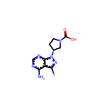 Nc1ncnc2c1c(I)nn2[C@H]1CCN(C(=O)O)C1